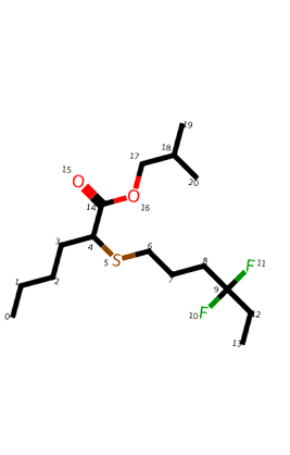 CCCCC(SCCCC(F)(F)CC)C(=O)OCC(C)C